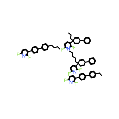 CCCC1(c2ccc(F)nc2F)C=CC(c2ccccc2)C=C1.CCCCCC1(c2ccc(F)nc2F)C=CC(c2ccccc2)C=C1.CCCCc1ccc(-c2ccc(-c3ccc(F)nc3F)cc2)cc1.CCc1ccc(-c2ccc(-c3ccc(F)nc3F)cc2)cc1